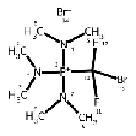 CN(C)[P+](N(C)C)(N(C)C)C(F)(F)Br.[Br-]